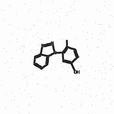 Cc1c[c]c(O)cc1-n1nnc2ccccc21